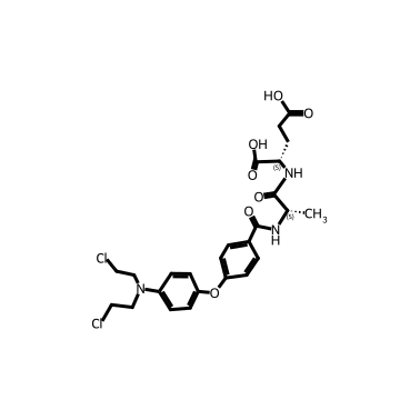 C[C@H](NC(=O)c1ccc(Oc2ccc(N(CCCl)CCCl)cc2)cc1)C(=O)N[C@@H](CCC(=O)O)C(=O)O